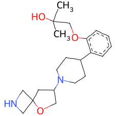 CC(C)(O)COc1ccccc1C1CCN(C2COC3(CNC3)C2)CC1